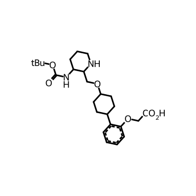 CC(C)(C)OC(=O)NC1CCCNC1COC1CCC(c2ccccc2OCC(=O)O)CC1